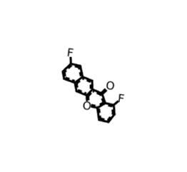 O=c1c2cc3cc(F)ccc3cc2oc2cccc(F)c12